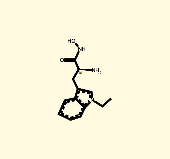 CCn1cc(C[C@H](N)C(=O)NO)c2ccccc21